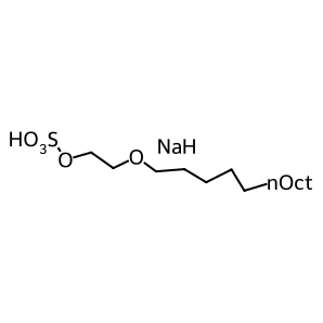 CCCCCCCCCCCCCOCCOS(=O)(=O)O.[NaH]